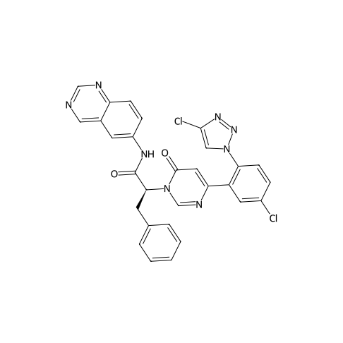 O=C(Nc1ccc2ncncc2c1)[C@H](Cc1ccccc1)n1cnc(-c2cc(Cl)ccc2-n2cc(Cl)nn2)cc1=O